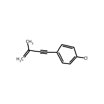 C=C(C)C#Cc1ccc(Cl)cc1